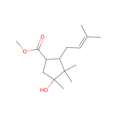 COC(=O)C1CC(C)(O)C(C)(C)C1CC=C(C)C